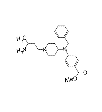 COC(=O)c1ccc(N(Cc2ccccc2)C2CCN(CCC(C)N)CC2)cc1